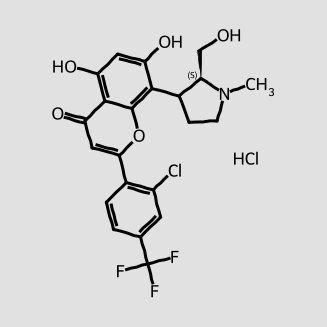 CN1CCC(c2c(O)cc(O)c3c(=O)cc(-c4ccc(C(F)(F)F)cc4Cl)oc23)[C@H]1CO.Cl